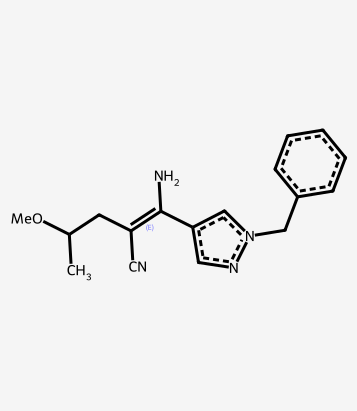 COC(C)C/C(C#N)=C(\N)c1cnn(Cc2ccccc2)c1